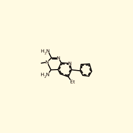 CCc1cc2c(nc1-c1ccccc1)N=C(N)N(C)C2N